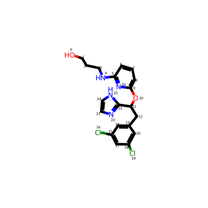 OCCCNc1cccc(OC(Cc2cc(Cl)cc(Cl)c2)c2ncc[nH]2)n1